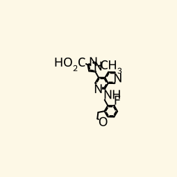 Cn1nc(C(=O)O)cc1-c1cnc(NCc2c(F)ccc3c2CCO3)c2cnccc12